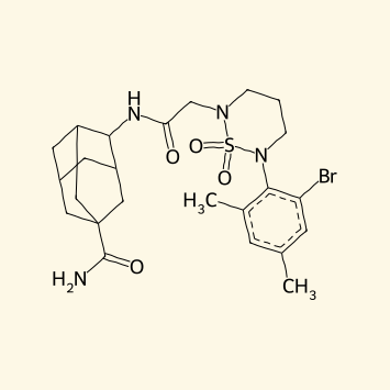 Cc1cc(C)c(N2CCCN(CC(=O)NC3C4CC5CC3CC(C(N)=O)(C5)C4)S2(=O)=O)c(Br)c1